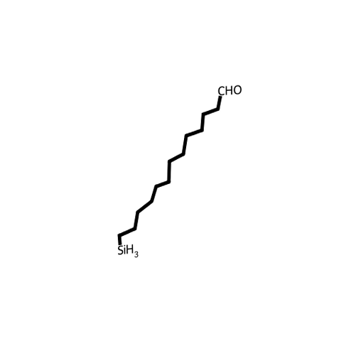 O=CCCCCCCCCCCCC[SiH3]